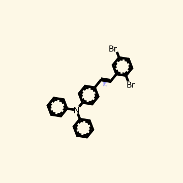 Brc1ccc(Br)c(/C=C/c2ccc(N(c3ccccc3)c3ccccc3)cc2)c1